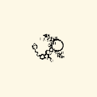 CCc1nc2ccc(OCCN3CCOCC3)cc2c2c1O[C@]1(CC2)C[C@H]2C(=O)N[C@]3(C(=O)NS(=O)(=O)C4(C)CC4)C[C@H]3/C=C\CCCCC[C@H](NC(=O)O)C(=O)N2C1